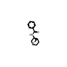 O=C(NC1CN2CCC1CC2)c1ccccc1